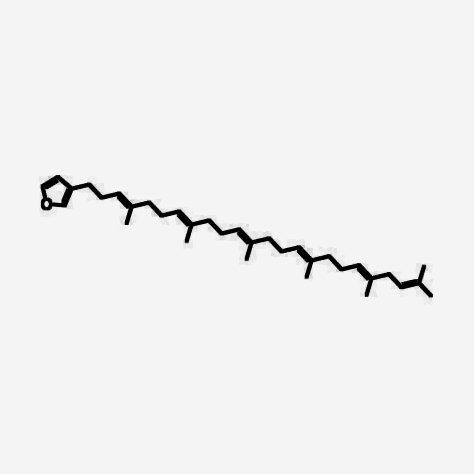 CC(C)=CC/C(C)=C/CC/C(C)=C/CC/C(C)=C/CC/C(C)=C/CC/C(C)=C/CCc1ccoc1